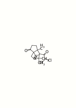 CC1(C)CCC23C(=O)CCC2(C)C1(C(=O)C(Cl)Cl)[N+]3=[N-]